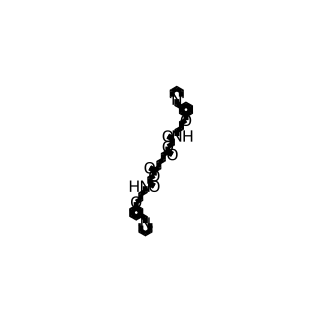 O=C(COC(=O)CCCCC(=O)OCC(=O)NCCCOc1cccc(CN2CCCCC2)c1)NCCCOc1cccc(CN2CCCCC2)c1